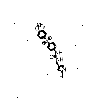 O=C(NCc1cn[nH]c1)Nc1ccc(S(=O)(=O)c2ccc(OC(F)(F)F)cc2)cc1